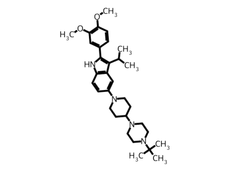 COc1ccc(-c2[nH]c3ccc(N4CCC(N5CCN(C(C)(C)C)CC5)CC4)cc3c2C(C)C)cc1OC